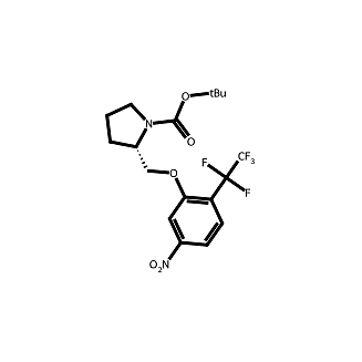 CC(C)(C)OC(=O)N1CCC[C@H]1COc1cc([N+](=O)[O-])ccc1C(F)(F)C(F)(F)F